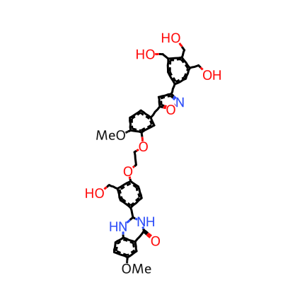 COc1ccc2c(c1)C(=O)NC(c1ccc(OCCOc3cc(-c4cc(-c5cc(CO)c(CO)c(CO)c5)no4)ccc3OC)c(CO)c1)N2